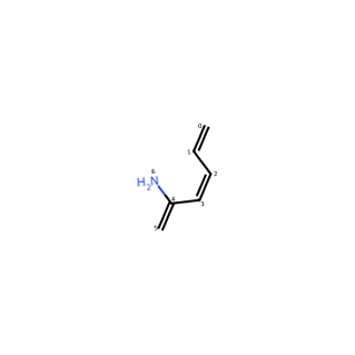 C=C/C=C\C(=C)N